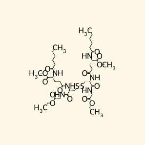 CCCCCC(=O)N[C@@H](CCC(=O)N[C@@H](CSSC[C@H](NC(=O)CC[C@H](NC(=O)CCCCC)C(=O)OC)C(=O)NCC(=O)OCC)C(=O)NCC(=O)OCC)C(=O)OC